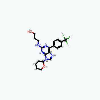 OCCCNc1nc(-c2ccc(C(F)(F)F)cc2)c2ncn(C3CCCCO3)c2n1